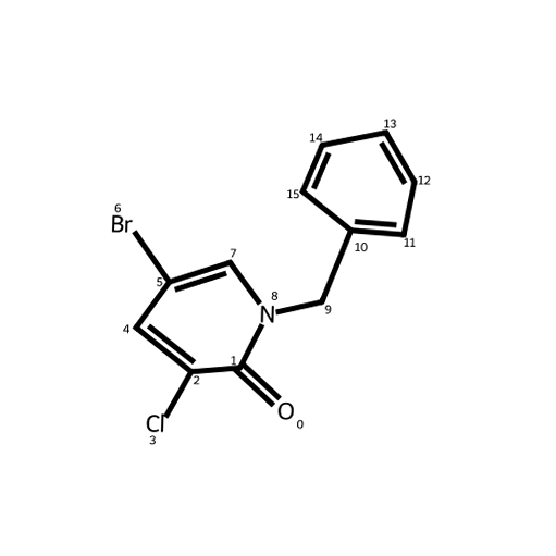 O=c1c(Cl)cc(Br)cn1Cc1ccccc1